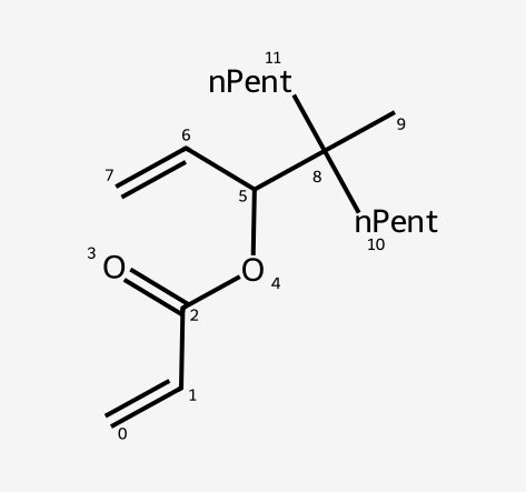 C=CC(=O)OC(C=C)C(C)(CCCCC)CCCCC